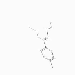 CCO/N=C(\CSC)c1ccc(C)cc1